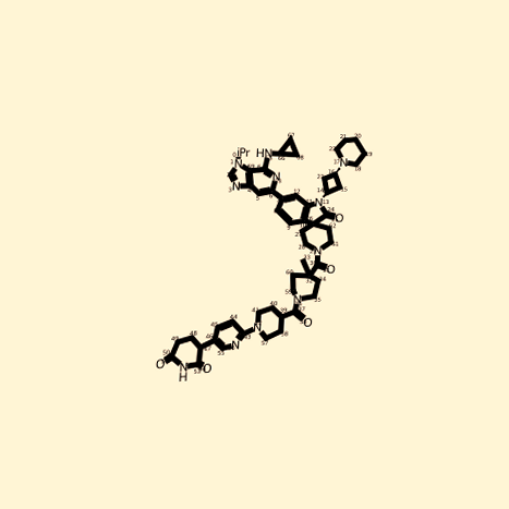 CC(C)n1cnc2cc(-c3ccc4c(c3)N([C@H]3C[C@@H](N5CCCCC5)C3)C(=O)C43CCN(C(=O)C4(C)CCN(C(=O)C5CCN(c6ccc(C7CCC(=O)NC7=O)cn6)CC5)CC4)CC3)nc(NC3CC3)c21